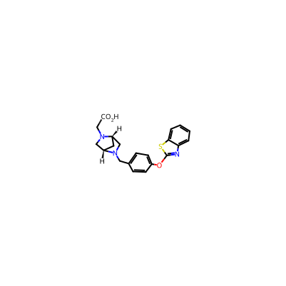 O=C(O)CN1C[C@@H]2C[C@H]1CN2Cc1ccc(Oc2nc3ccccc3s2)cc1